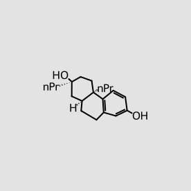 CCC[C@]1(O)CC[C@@]2(CCC)c3ccc(O)cc3CC[C@H]2C1